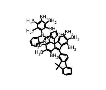 BC1=C(B)C2=C(c3ccc4c(c3)C(C)(C)c3ccccc3-4)c3c(B)c(B)c(B)c(O)c3C2(C2C=CC=C2c2nc3ccccc3n2-c2c(B)c(B)c(B)c(B)c2B)C(B)=C1B